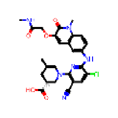 CNC(=O)COc1cc2cc(Nc3nc(N4CC(C)C[C@@H](C(=O)O)C4)c(C#N)cc3Cl)ccc2n(C)c1=O